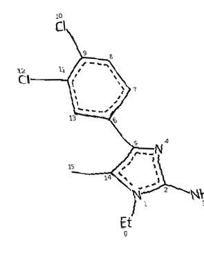 CCn1c(N)nc(-c2ccc(Cl)c(Cl)c2)c1C